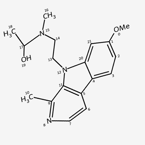 COc1ccc2c3ccnc(C)c3n(CCN(C)C(C)O)c2c1